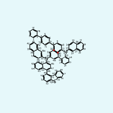 c1ccc(-c2ccc(-c3ccc(N(c4ccc5ccccc5c4)c4ccccc4-c4cccc(N(c5ccc6ccccc6c5)c5ccc(-c6cccc7sc8ccccc8c67)c6ccccc56)c4)cc3)cc2)cc1